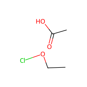 CC(=O)O.CCOCl